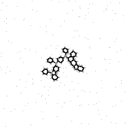 c1ccc(N(c2ccc(N(c3ccccc3)c3cc4cc5sc6ccccc6c5cc4c4ccccc34)cc2)c2ccc3c4ccccc4n(-c4ccccc4)c3c2)cc1